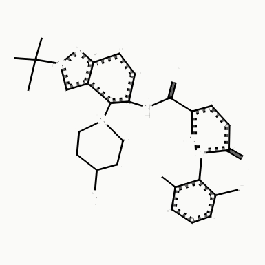 CC(C)(C)n1cc2c(N3CCC(N)CC3)c(NC(=O)c3ccc(=O)n(-c4c(F)cccc4F)n3)ccc2n1